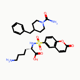 NC(=O)N1CCC(Cc2ccccc2)CC1.NCCCC[C@H](NS(=O)(=O)c1ccc2oc(=O)ccc2c1)C(=O)O